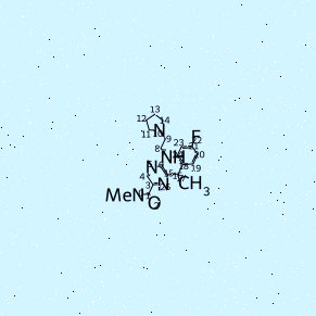 CNC(=O)c1cnc(NCCN2CCCC2)c([C@@H](C)c2ccc(F)cc2)n1